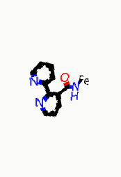 O=C([NH][Fe])c1cccnc1-c1ccccn1